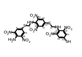 Nc1c([N+](=O)[O-])cc(SCNc2c([N+](=O)[O-])cc(SCNc3c([N+](=O)[O-])cc(S)cc3[N+](=O)[O-])cc2[N+](=O)[O-])cc1[N+](=O)[O-]